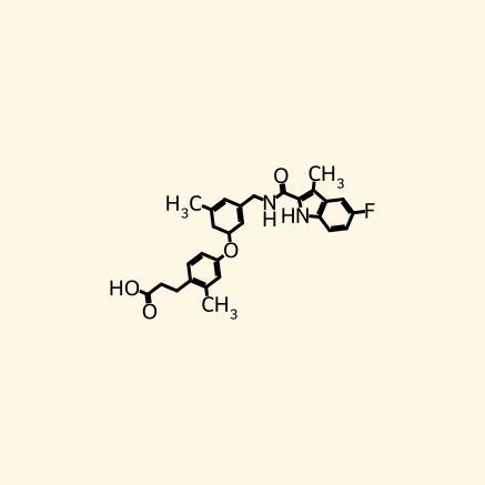 CC1=CC(CNC(=O)c2[nH]c3ccc(F)cc3c2C)=CC(Oc2ccc(CCC(=O)O)c(C)c2)C1